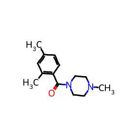 Cc1ccc(C(=O)N2CCN(C)CC2)c(C)c1